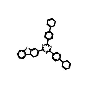 C1=CCCC(c2ccc(-c3nc(C4=CCC5C(=C4)Oc4ccccc45)nc(-c4ccc(C5C=CC=CC5)cc4)n3)cc2)=C1